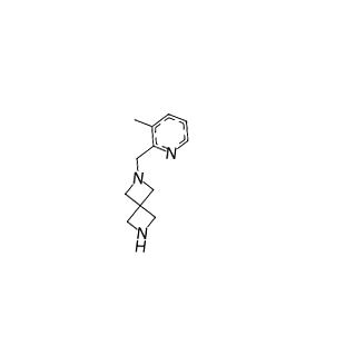 Cc1cccnc1CN1CC2(CNC2)C1